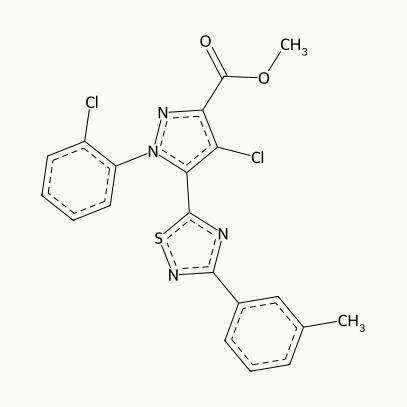 COC(=O)c1nn(-c2ccccc2Cl)c(-c2nc(-c3cccc(C)c3)ns2)c1Cl